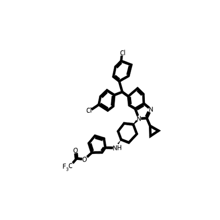 O=C(Oc1cccc(N[C@H]2CC[C@H](n3c(C4CC4)nc4ccc(C(c5ccc(Cl)cc5)c5ccc(Cl)cc5)cc43)CC2)c1)C(F)(F)F